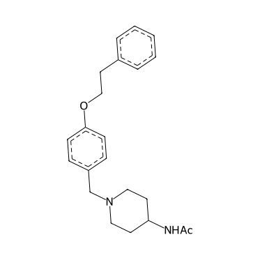 CC(=O)NC1CCN(Cc2ccc(OCCc3ccccc3)cc2)CC1